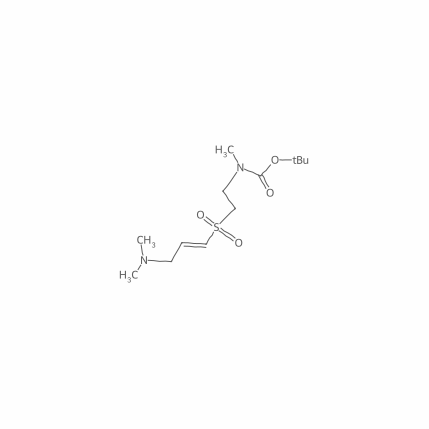 CN(C)C/C=C/S(=O)(=O)CCN(C)C(=O)OC(C)(C)C